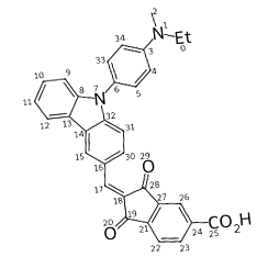 CCN(C)c1ccc(-n2c3ccccc3c3cc(/C=C4/C(=O)c5ccc(C(=O)O)cc5C4=O)ccc32)cc1